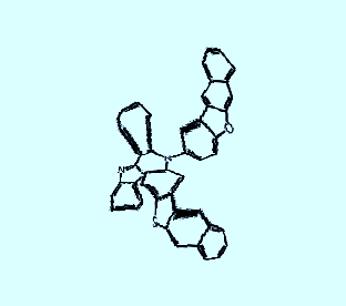 c1ccc(N(c2ccc3oc4cc5ccccc5cc4c3c2)c2ccc3sc4cc5ccccc5cc4c3c2)c(-c2nc3ccccc3s2)c1